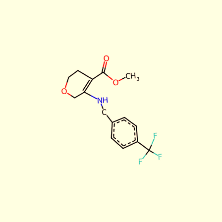 COC(=O)C1=C(NCc2ccc(C(F)(F)F)cc2)COCC1